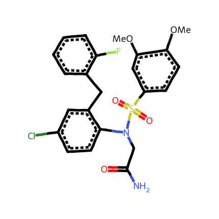 COc1ccc(S(=O)(=O)N(CC(N)=O)c2ccc(Cl)cc2Cc2ccccc2F)cc1OC